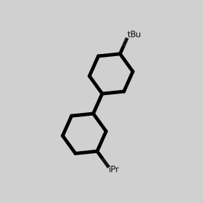 CC(C)C1CCC[C](C2CCC(C(C)(C)C)CC2)C1